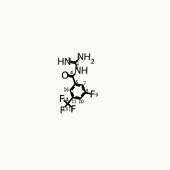 N=C(N)NC(=O)c1cc(F)cc(C(F)(F)F)c1